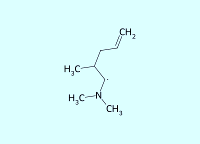 C=CCC(C)[CH]N(C)C